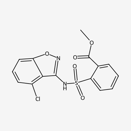 COC(=O)c1ccccc1S(=O)(=O)Nc1noc2cccc(Cl)c12